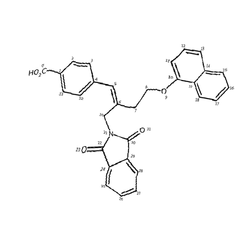 O=C(O)c1ccc(C=C(CCOc2cccc3ccccc23)CN2C(=O)c3ccccc3C2=O)cc1